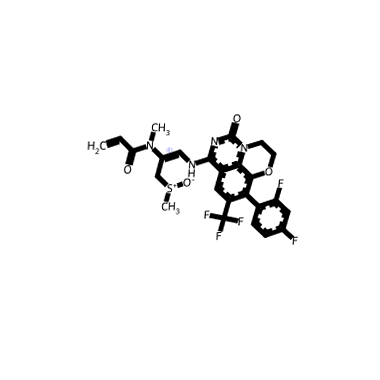 C=CC(=O)N(C)/C(=C/Nc1nc(=O)n2c3c(c(-c4ccc(F)cc4F)c(C(F)(F)F)cc13)OCC2)C[S+](C)[O-]